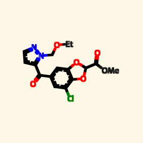 CCOCn1nccc1C(=O)c1cc(Cl)c2c(c1)OC(C(=O)OC)O2